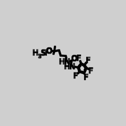 CC(C)(CCCNC(=O)Nc1c(F)c(F)c(F)c(F)c1F)O[SiH3]